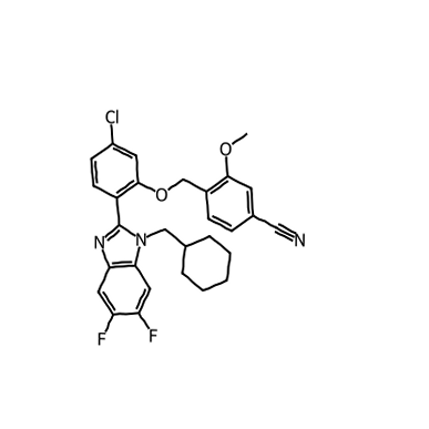 COc1cc(C#N)ccc1COc1cc(Cl)ccc1-c1nc2cc(F)c(F)cc2n1CC1CCCCC1